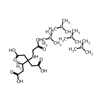 CN(C)C.CN(C)C.CN(C)C.CN(C)C.NC(CC(=O)O)C(CC(=O)O)(CC(=O)O)NCC(=O)O